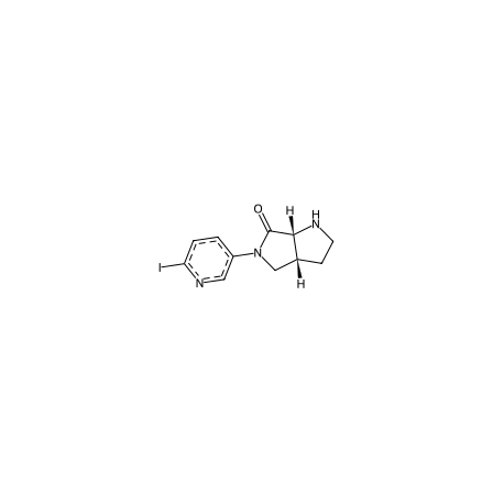 O=C1[C@@H]2NCC[C@@H]2CN1c1ccc(I)nc1